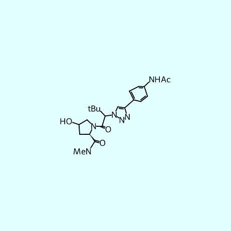 CNC(=O)[C@H]1CC(O)CN1C(=O)C(n1cc(-c2ccc(NC(C)=O)cc2)nn1)C(C)(C)C